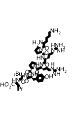 CC[C@H](C)[C@H](NC(=O)[C@H](Cc1ccc(O)cc1)NC(=O)[C@@H]1CCCN1C(=O)[C@H](CCCNC(=N)N)NC(=O)[C@H](CCCNC(=N)N)NC(=O)[C@@H]1CCCN1C(=O)[C@@H](N)CCCCN)C(=O)N[C@@H](CC(C)C)C(=O)O